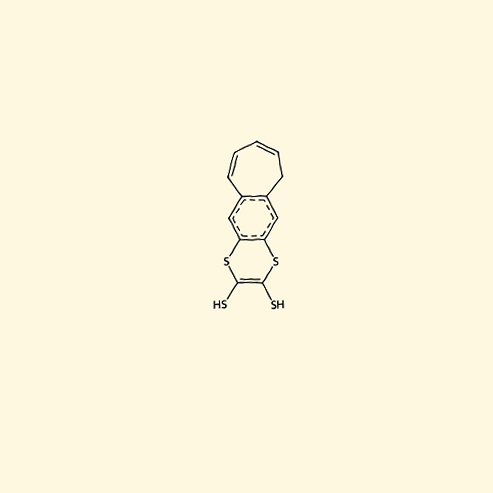 SC1=C(S)Sc2cc3c(cc2S1)C=CC=CC3